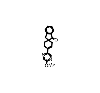 COc1cnc(C2=CCC3(CC2)Cc2ccccc2C3=O)cn1